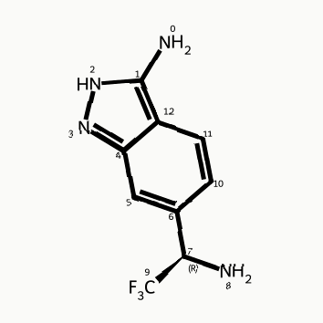 Nc1[nH]nc2cc([C@@H](N)C(F)(F)F)ccc12